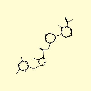 Cc1c(C(=O)O)cccc1-c1cccc(NC(=O)c2nnn(Cc3cc(Cl)cc(Cl)c3)c2C)c1